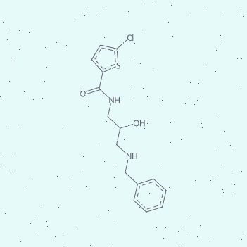 O=C(NCC(O)CNCc1ccccc1)c1ccc(Cl)s1